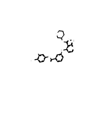 Cc1cc(NC(=O)c2cccc(Nc3ccnc4[nH]nc(OC5CCCNC5)c34)c2)ccc1C(C)C